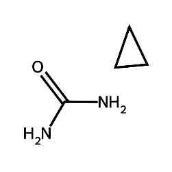 C1CC1.NC(N)=O